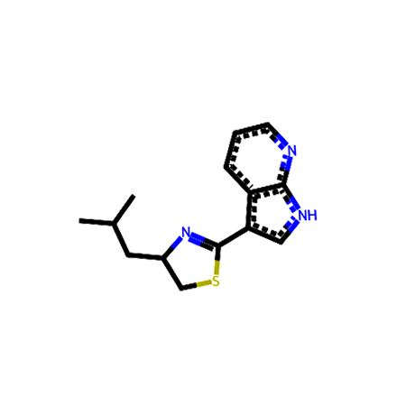 CC(C)CC1CSC(c2c[nH]c3ncccc23)=N1